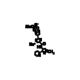 COP(=O)([O-])On1cc(-c2nc(C(=O)Nc3cn(C)nc3-c3ccccn3)cs2)cn1.[Na+]